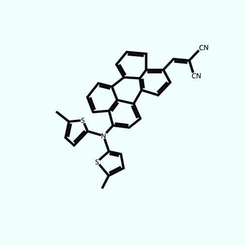 Cc1ccc(N(c2ccc(C)s2)c2ccc3c4ccc(C=C(C#N)C#N)c5cccc(c6cccc2c63)c54)s1